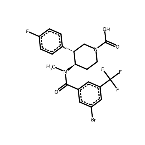 CN(C(=O)c1cc(Br)cc(C(F)(F)F)c1)[C@@H]1CCN(C(=O)O)C[C@H]1c1ccc(F)cc1